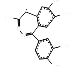 CC[C@@H]1C(C)=NN=C(c2ccc(OC)c(OC)c2)c2cc(OC)c(O)cc21